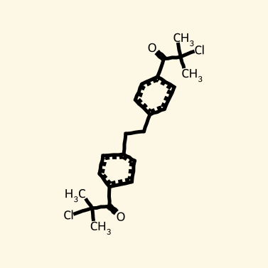 CC(C)(Cl)C(=O)c1ccc(CCc2ccc(C(=O)C(C)(C)Cl)cc2)cc1